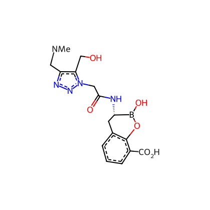 CNCc1nnn(CC(=O)N[C@H]2Cc3cccc(C(=O)O)c3OB2O)c1CO